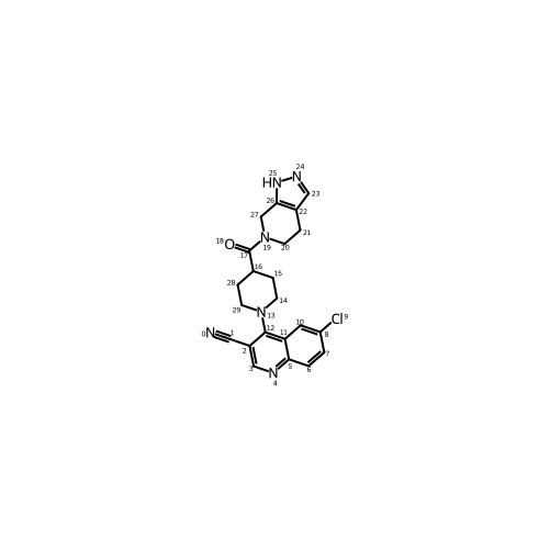 N#Cc1cnc2ccc(Cl)cc2c1N1CCC(C(=O)N2CCc3cn[nH]c3C2)CC1